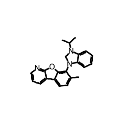 Cc1ccc2c(oc3ncccc32)c1N1CN(C(C)C)c2ccccc21